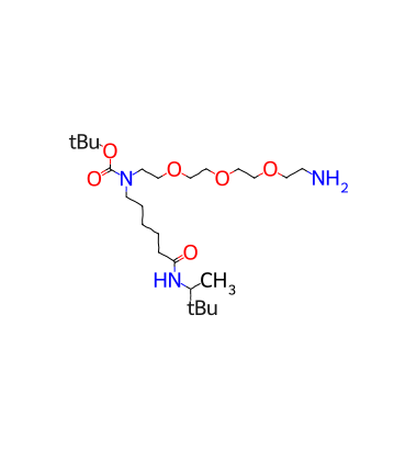 CC(NC(=O)CCCCCN(CCOCCOCCOCCN)C(=O)OC(C)(C)C)C(C)(C)C